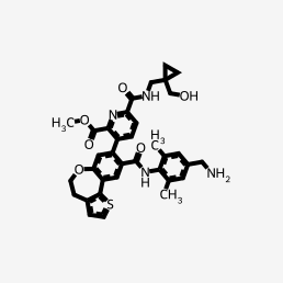 COC(=O)c1nc(C(=O)NCC2(CO)CC2)ccc1-c1cc2c(cc1C(=O)Nc1c(C)cc(CN)cc1C)-c1sccc1CCO2